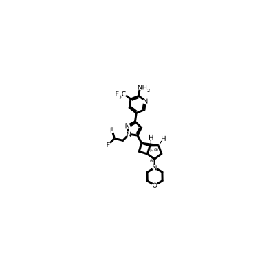 Nc1ncc(-c2cc(C34CC5[C@H](N6CCOCC6)C[C@H]3[C@@H]54)n(CC(F)F)n2)cc1C(F)(F)F